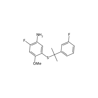 COc1cc(F)c(N)cc1SC(C)(C)c1cccc(F)c1